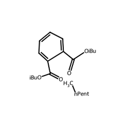 CC(C)COC(=O)c1ccccc1C(=O)OCC(C)C.CCCCCC